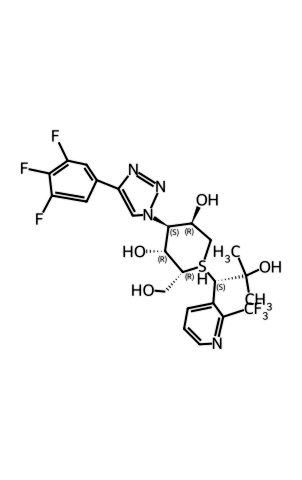 CC(C)(O)[C@H](c1cccnc1C(F)(F)F)[SH]1C[C@H](O)[C@H](n2cc(-c3cc(F)c(F)c(F)c3)nn2)[C@@H](O)[C@H]1CO